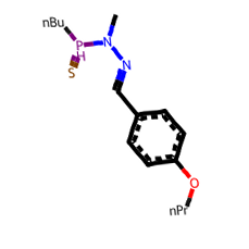 CCCC[PH](=S)N(C)/N=C/c1ccc(OCCC)cc1